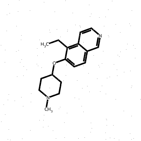 CCc1c(OC2CCN(C)CC2)ccc2cnccc12